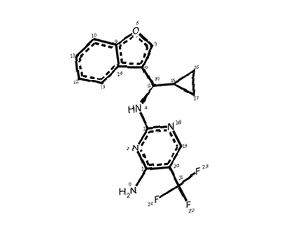 Nc1nc(N[C@@H](c2coc3ccccc23)C2CC2)ncc1C(F)(F)F